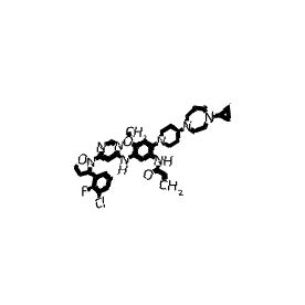 C=CC(=O)Nc1cc(Nc2cc(N3OCCC3c3cccc(Cl)c3F)ncn2)c(OC)cc1N1CCC(N2CCCN(C3CC3)CC2)CC1